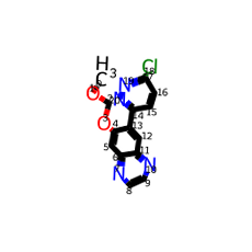 COCOc1cc2nccnc2cc1-c1ccc(Cl)nn1